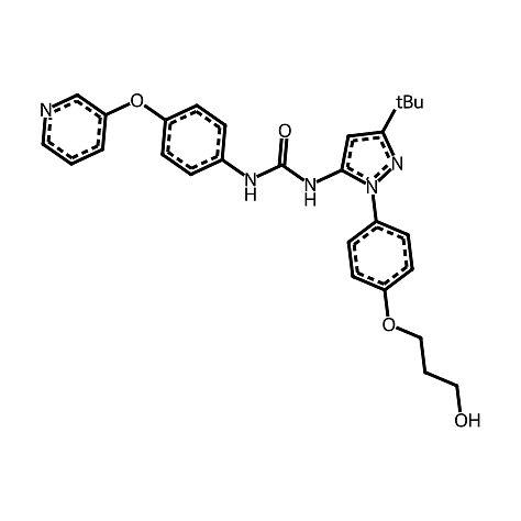 CC(C)(C)c1cc(NC(=O)Nc2ccc(Oc3cccnc3)cc2)n(-c2ccc(OCCCO)cc2)n1